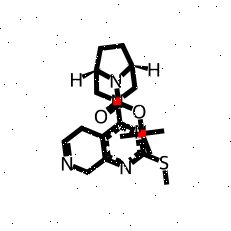 CSc1nc2c(c(N3C[C@H]4CC[C@@H](C3)N4C(=O)OC(C)(C)C)n1)CC=NC2